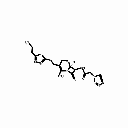 NCCc1nnc(SCC2=C(C(=O)O)N3C(=O)C(NC(=O)Cn4cnnn4)[C@@H]3SC2)s1